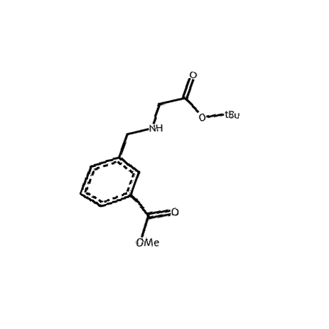 COC(=O)c1cccc(CNCC(=O)OC(C)(C)C)c1